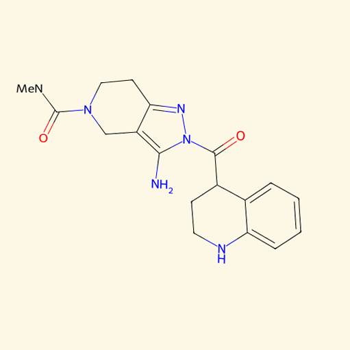 CNC(=O)N1CCc2nn(C(=O)C3CCNc4ccccc43)c(N)c2C1